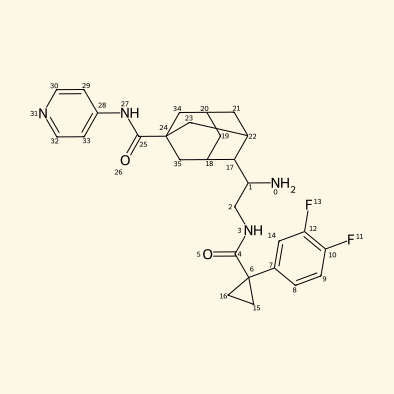 NC(CNC(=O)C1(c2ccc(F)c(F)c2)CC1)C1C2CC3CC1CC(C(=O)Nc1ccncc1)(C3)C2